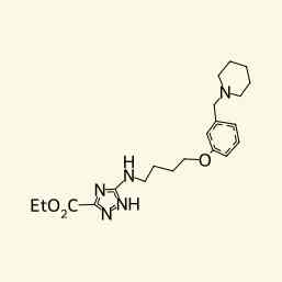 CCOC(=O)c1n[nH]c(NCCCCOc2cccc(CN3CCCCC3)c2)n1